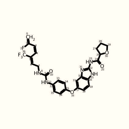 C=C(F)/C=C\C(=C/CNC(=O)Nc1ccc(Oc2ccc3[nH]c(NC(=O)C4CCCO4)nc3c2)cc1)C(F)(F)F